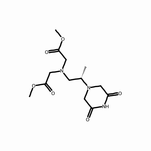 COC(=O)CN(CC(=O)OC)C[C@H](C)N1CC(=O)NC(=O)C1